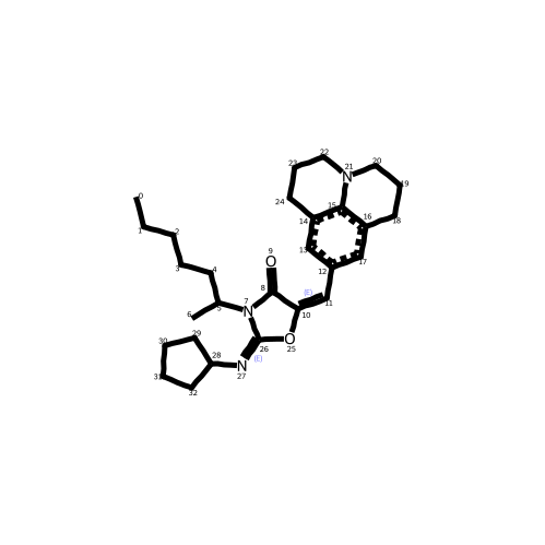 CCCCCC(C)N1C(=O)/C(=C\c2cc3c4c(c2)CCCN4CCC3)O/C1=N/C1CCCC1